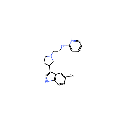 N#Cc1ccc2[nH]cc(C3CCN(CCNc4ccccn4)C3)c2c1